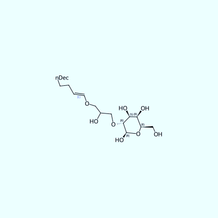 CCCCCCCCCCCC/C=C/OCC(O)CO[C@@H]1[C@@H](O)[C@@H](O)[C@@H](CO)O[C@H]1O